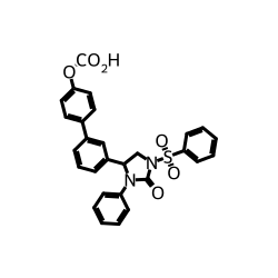 O=C(O)Oc1ccc(-c2cccc(C3CN(S(=O)(=O)c4ccccc4)C(=O)N3c3ccccc3)c2)cc1